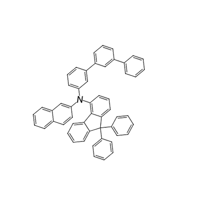 c1ccc(-c2cccc(-c3cccc(N(c4ccc5ccccc5c4)c4cccc5c4-c4ccccc4C5(c4ccccc4)c4ccccc4)c3)c2)cc1